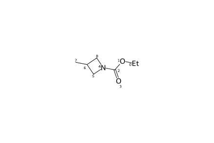 CCOC(=O)N1CC(C)C1